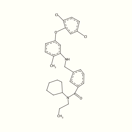 CCCN(C(=O)c1cccc(CNc2cc(Oc3cc(Cl)ccc3Cl)ccc2C)c1)C1CCCCC1